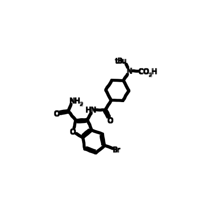 CC(C)(C)N(C(=O)O)C1CCC(C(=O)Nc2c(C(N)=O)oc3ccc(Br)cc23)CC1